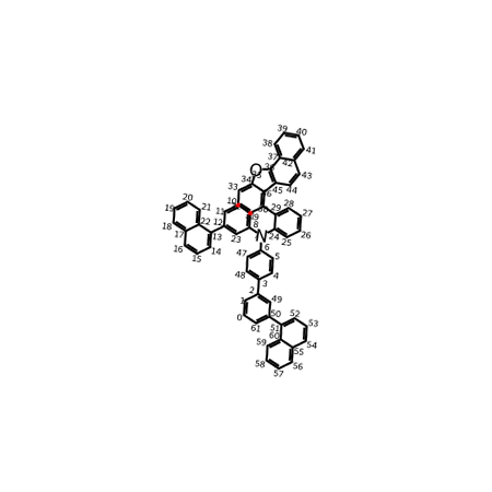 c1cc(-c2ccc(N(c3cccc(-c4cccc5ccccc45)c3)c3ccccc3-c3cccc4oc5c6ccccc6ccc5c34)cc2)cc(-c2cccc3ccccc23)c1